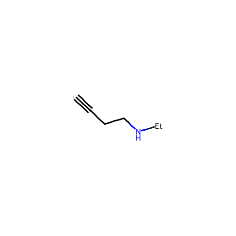 [C]#CCCNCC